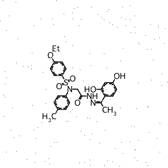 CCOc1ccc(S(=O)(=O)N(CC(=O)NN=C(C)c2ccc(O)cc2O)c2ccc(C)cc2)cc1